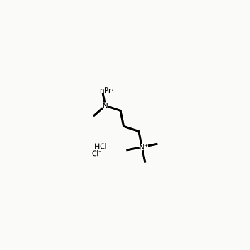 Cl.[CH2]C[CH]N(C)CCC[N+](C)(C)C.[Cl-]